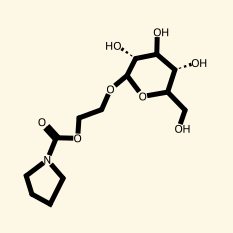 O=C(OCCOC1OC(CO)[C@@H](O)C(O)[C@H]1O)N1CCCC1